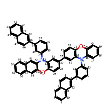 c1cc(-c2ccc3ccccc3c2)cc(N2c3ccccc3Oc3ccc(-c4ccc5c(c4)N(c4cccc(-c6ccc7ccccc7c6)c4)c4cc6ccccc6cc4O5)cc32)c1